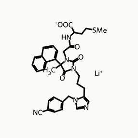 CSCCC(NC(=O)CN1C(=O)N(CCCc2cncn2Cc2ccc(C#N)cc2)C(=O)C1(C)c1cccc2ccccc12)C(=O)[O-].[Li+]